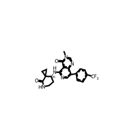 Cn1cnc2c(-c3ccc(C(F)(F)F)cc3)cnc(N[C@@H]3CCNC(=O)C34CC4)c2c1=O